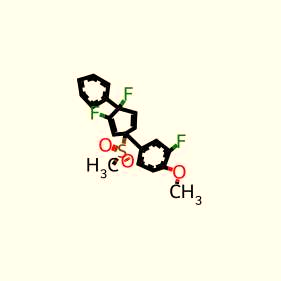 COc1ccc(C2(S(C)(=O)=O)C=CC(F)(c3ccccc3)C(F)=C2)cc1F